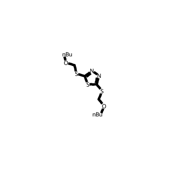 CCCCOCSc1nnc(SCOCCCC)s1